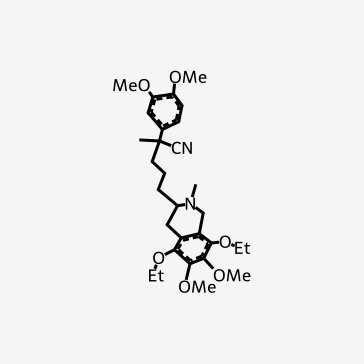 CCOc1c2c(c(OCC)c(OC)c1OC)CN(C)C(CCCC(C)(C#N)c1ccc(OC)c(OC)c1)C2